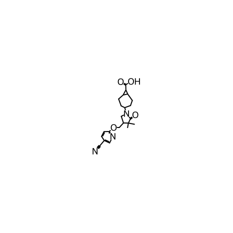 CC1(C)C(=O)N(C2CCC3C(CC2)C3C(=O)O)CC1COc1ccc(C#N)cn1